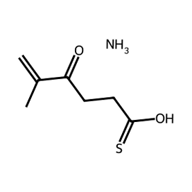 C=C(C)C(=O)CCC(O)=S.N